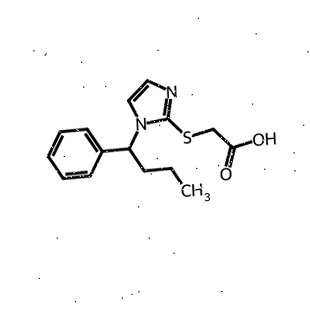 CCCC(c1ccccc1)n1ccnc1SCC(=O)O